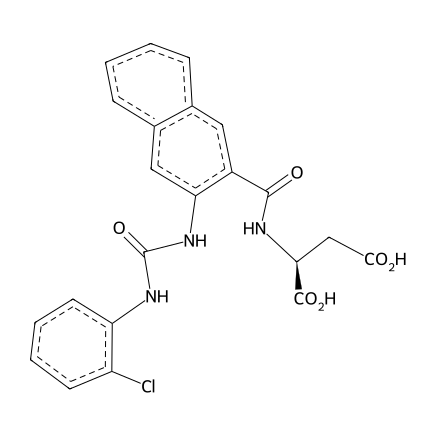 O=C(O)C[C@H](NC(=O)c1cc2ccccc2cc1NC(=O)Nc1ccccc1Cl)C(=O)O